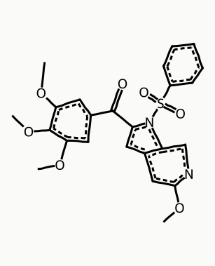 COc1cc2cc(C(=O)c3cc(OC)c(OC)c(OC)c3)n(S(=O)(=O)c3ccccc3)c2cn1